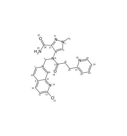 Cn1cc(N(Cc2ccc3ccc(Cl)nc3c2)C(=O)CCc2ccccn2)c(C(N)=O)n1